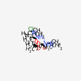 C=C(C)C(=O)[O-].C=CC(N)=O.C=CC(N)=O.CC[N+](C)(C)C.CC[N+](C)(C)C.[Cl-]